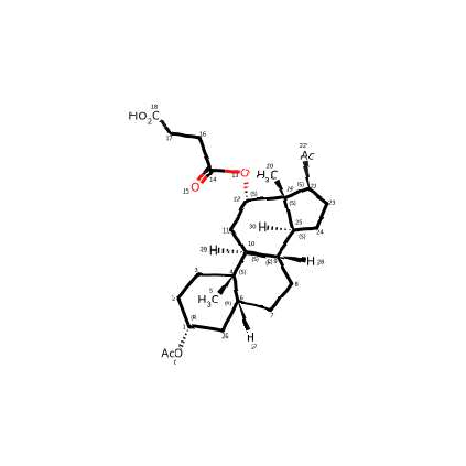 CC(=O)O[C@@H]1CC[C@@]2(C)[C@H](CC[C@@H]3[C@@H]2C[C@H](OC(=O)CCC(=O)O)[C@]2(C)[C@@H](C(C)=O)CC[C@@H]32)C1